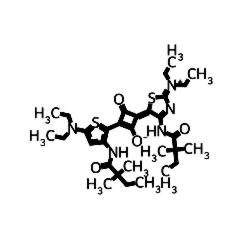 CCN(CC)c1cc(NC(=O)C(C)(C)CC)c(C2=C([O-])/C(=C3/SC(=[N+](CC)CC)N=C3NC(=O)C(C)(C)CC)C2=O)s1